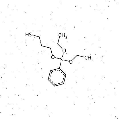 CCO[Si](OCC)(OCCCS)c1ccccc1